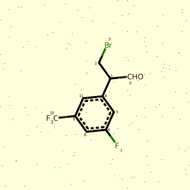 O=CC(CBr)c1cc(F)cc(C(F)(F)F)c1